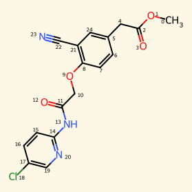 COC(=O)Cc1ccc(OCC(=O)Nc2ccc(Cl)cn2)c(C#N)c1